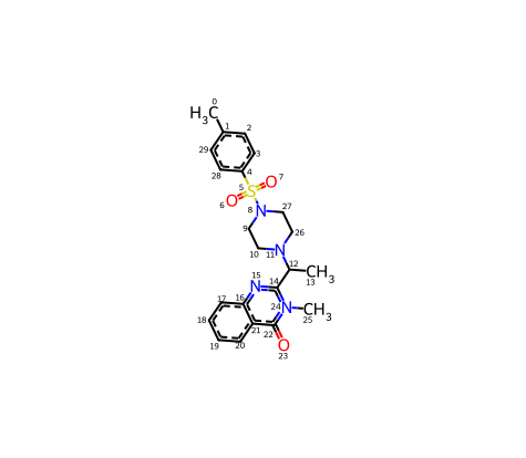 Cc1ccc(S(=O)(=O)N2CCN(C(C)c3nc4ccccc4c(=O)n3C)CC2)cc1